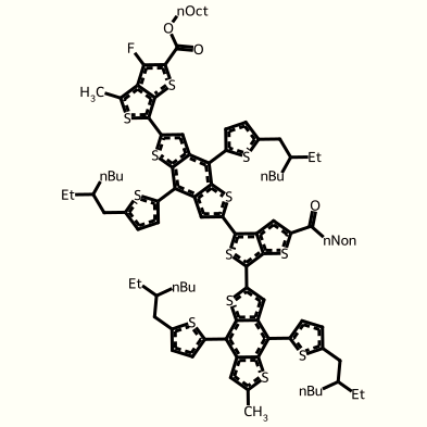 CCCCCCCCCC(=O)c1cc2c(-c3cc4c(-c5ccc(CC(CC)CCCC)s5)c5sc(-c6sc(C)c7c(F)c(C(=O)OCCCCCCCC)sc67)cc5c(-c5ccc(CC(CC)CCCC)s5)c4s3)sc(-c3cc4c(-c5ccc(CC(CC)CCCC)s5)c5sc(C)cc5c(-c5ccc(CC(CC)CCCC)s5)c4s3)c2s1